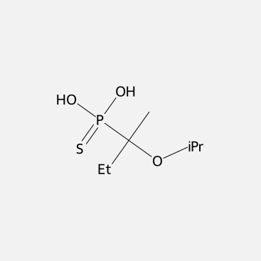 CCC(C)(OC(C)C)P(O)(O)=S